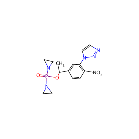 CC(OP(=O)(N1CC1)N1CC1)c1ccc([N+](=O)[O-])c(-n2ccnn2)c1